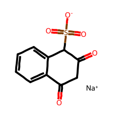 O=C1CC(=O)C(S(=O)(=O)[O-])c2ccccc21.[Na+]